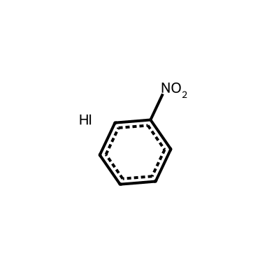 I.O=[N+]([O-])c1ccccc1